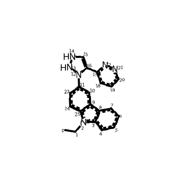 CCn1c2ccccc2c2cc(N3NNC=C3c3cccnn3)ccc21